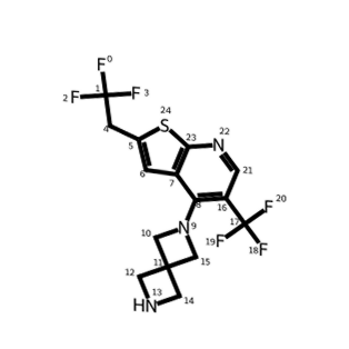 FC(F)(F)Cc1cc2c(N3CC4(CNC4)C3)c(C(F)(F)F)cnc2s1